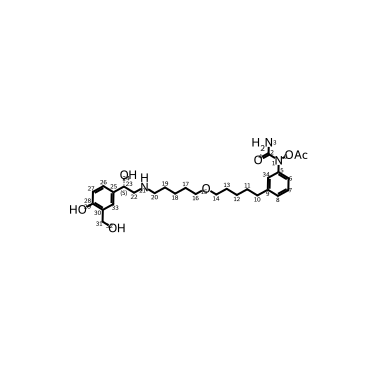 CC(=O)ON(C(N)=O)c1cccc(CCCCCOCCCCCNC[C@@H](O)c2ccc(O)c(CO)c2)c1